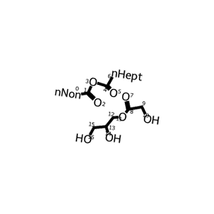 CCCCCCCCCC(=O)OC(=O)CCCCCCC.O=C(CO)OCC(O)CO